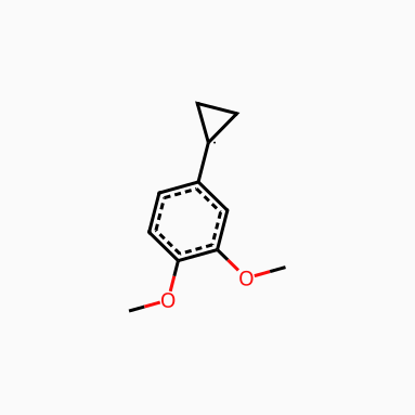 COc1ccc([C]2CC2)cc1OC